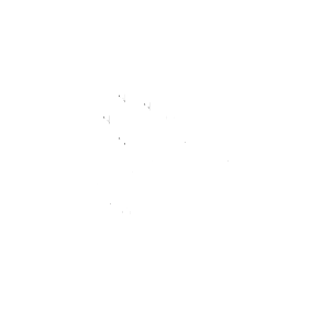 Cn1cnnn1.[Cu+2].[O-][Cl+2]([O-])[O-].[O-][Cl+2]([O-])[O-]